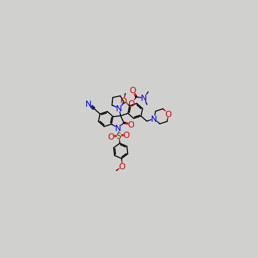 COc1ccc(S(=O)(=O)N2C(=O)C(c3cc(CN4CCOCC4)ccc3OC)(N3CCC[C@@H]3OC(=O)N(C)C)c3cc(C#N)ccc32)cc1